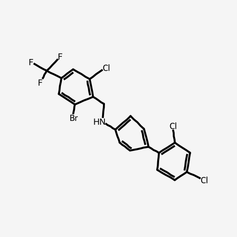 FC(F)(F)c1cc(Cl)c(CNc2ccc(-c3ccc(Cl)cc3Cl)cc2)c(Br)c1